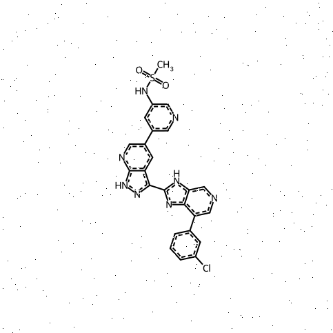 CS(=O)(=O)Nc1cncc(-c2cnc3[nH]nc(-c4nc5c(-c6cccc(Cl)c6)cncc5[nH]4)c3c2)c1